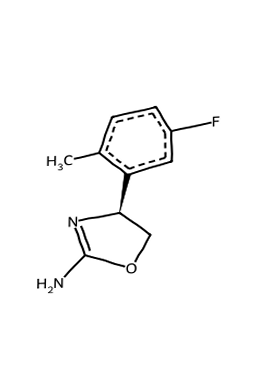 Cc1ccc(F)cc1[C@H]1COC(N)=N1